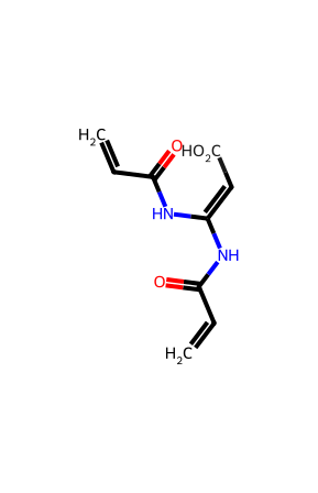 C=CC(=O)NC(=CC(=O)O)NC(=O)C=C